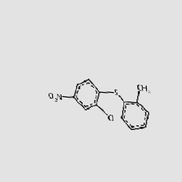 Cc1ccccc1Sc1ccc([N+](=O)[O-])cc1Cl